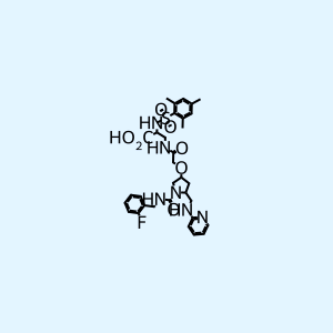 Cc1cc(C)c(S(=O)(=O)NC(CNC(=O)COC2CC(CNc3ccccn3)N(C(=O)NCc3ccccc3F)C2)C(=O)O)c(C)c1